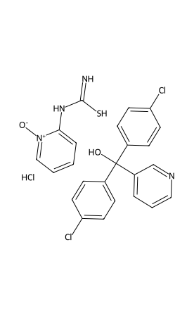 Cl.N=C(S)Nc1cccc[n+]1[O-].OC(c1ccc(Cl)cc1)(c1ccc(Cl)cc1)c1cccnc1